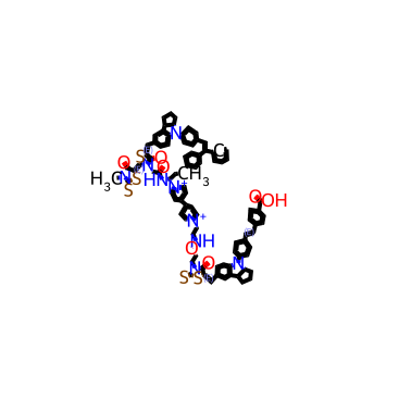 CCC(NC(=O)Cn1c(=O)/c(=C\c2ccc3c(c2)C2CCCC2N3c2ccc(C=C(c3ccccc3)c3ccccc3)cc2)s/c1=C1/SC(=S)N(C)C1=O)[n+]1ccc(-c2cc[n+](CCNOCCN3C(=O)/C(=C\c4ccc5c(c4)C4CCCC4N5c4ccc(/C=C/c5ccc(C(=O)O)cc5)cc4)SC3=S)cc2)cc1